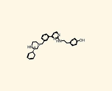 Oc1ccc(CCNc2nccc(-c3cccc(CN4CCN[C@H](C5C=CC=CC5)C4)c3)n2)cc1